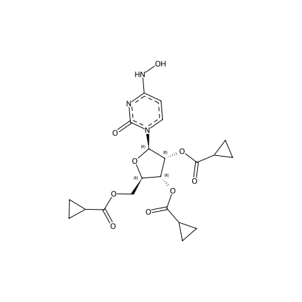 O=C(OC[C@H]1O[C@@H](n2ccc(NO)nc2=O)[C@H](OC(=O)C2CC2)[C@@H]1OC(=O)C1CC1)C1CC1